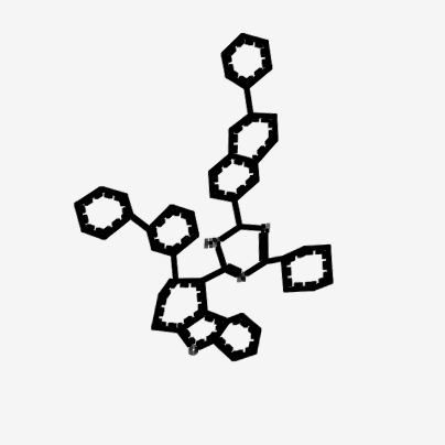 c1ccc(C2=NC(c3ccc4cc(-c5ccccc5)ccc4c3)NC(c3c(-c4cccc(-c5ccccc5)c4)ccc4oc5ccccc5c34)=N2)cc1